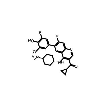 N[C@H]1CC[C@H](Nc2c(C(=O)C3CC3)cnc3cc(F)c(-c4cc(F)c(O)c(Cl)c4)cc23)CC1